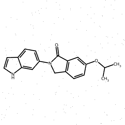 CC(C)Oc1ccc2c(c1)C(=O)N(c1ccc3cc[nH]c3c1)C2